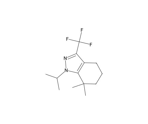 CC(C)n1nc(C(F)(F)F)c2c1C(C)(C)CCC2